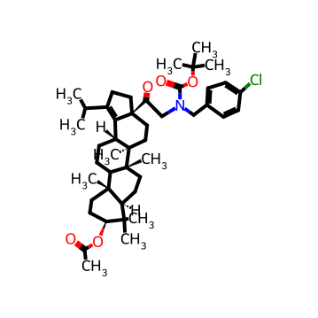 CC(=O)O[C@H]1CC[C@]2(C)C3CC[C@@H]4C5=C(C(C)C)CC[C@]5(C(=O)CN(Cc5ccc(Cl)cc5)C(=O)OC(C)(C)C)CC[C@@]4(C)[C@]3(C)CC[C@H]2C1(C)C